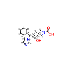 O=C(O)N1CC2(C[C@@H](C3c4ccccc4-c4cncn43)[C@H]2O)C1